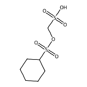 O=S(=O)(O)COS(=O)(=O)C1CCCCC1